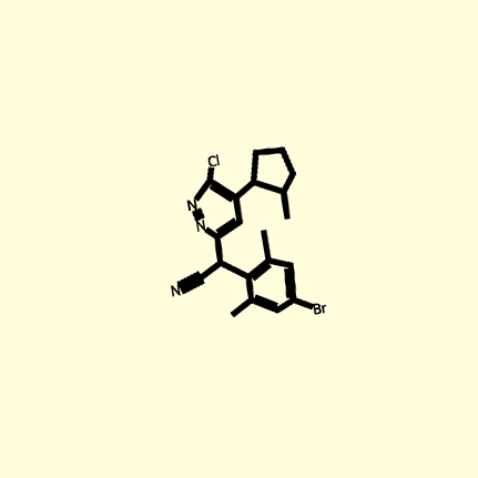 Cc1cc(Br)cc(C)c1C(C#N)c1cc(C2CCCC2C)c(Cl)nn1